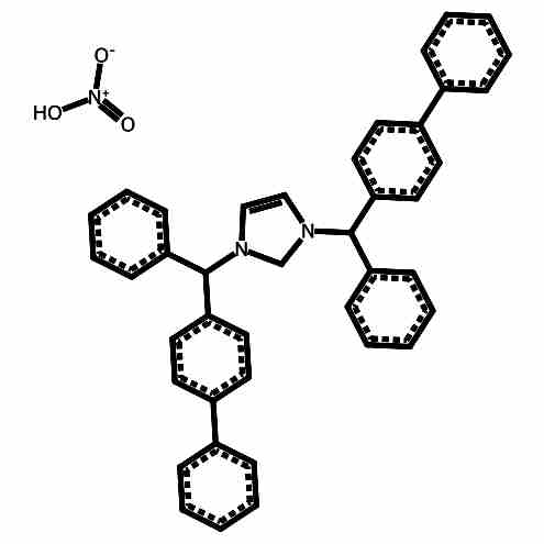 C1=CN(C(c2ccccc2)c2ccc(-c3ccccc3)cc2)CN1C(c1ccccc1)c1ccc(-c2ccccc2)cc1.O=[N+]([O-])O